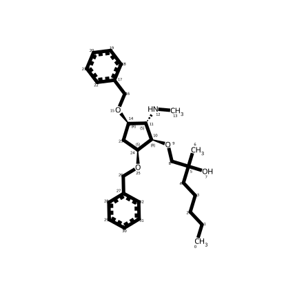 CCCCCC(C)(O)CO[C@@H]1[C@@H](NC)[C@H](OCc2ccccc2)C[C@@H]1OCc1ccccc1